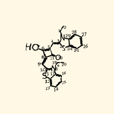 CCN1/C(=C/C2=C(O)C(=C/c3sc4ccccc4[n+]3CC)/C2=O)Sc2ccccc21